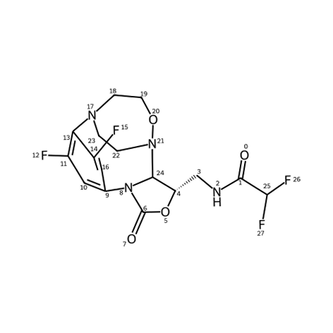 O=C(NC[C@@H]1OC(=O)N2c3cc(F)c(c(F)c3)N3CCON(CC3)C12)C(F)F